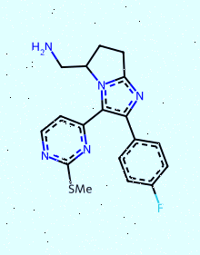 CSc1nccc(-c2c(-c3ccc(F)cc3)nc3n2C(CN)CC3)n1